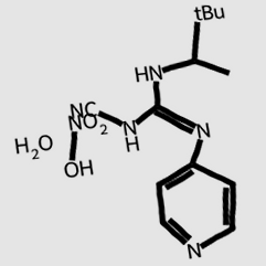 CC(N/C(=N/c1ccncc1)NC#N)C(C)(C)C.O.O=[N+]([O-])O